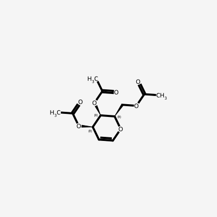 CC(=O)OC[C@H]1OC=C[C@@H](OC(C)=O)[C@H]1OC(C)=O